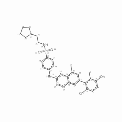 Cc1c(O)ccc(Cl)c1-c1cc(C)c2nc(Nc3ccc(S(=O)(=O)NCCN4CCCC4)cc3)nnc2c1